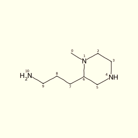 CN1CCNCC1CCCN